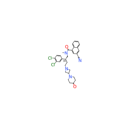 CN(C[C@@H](CCN1CC(N2CCC(=O)CC2)C1)c1ccc(Cl)c(Cl)c1)C(=O)c1cc(C#N)cc2ccccc12